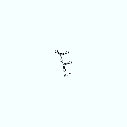 O=P(=O)SP(=O)=O.[Al].[Li]